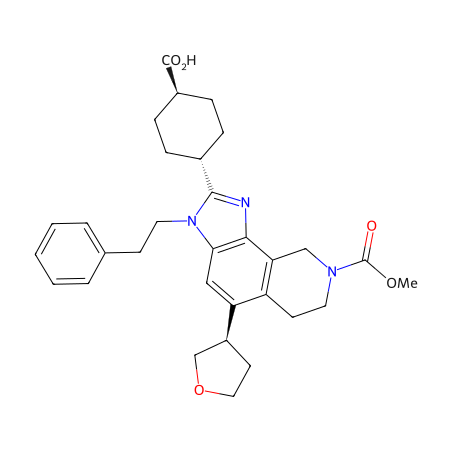 COC(=O)N1CCc2c([C@H]3CCOC3)cc3c(nc([C@H]4CC[C@H](C(=O)O)CC4)n3CCc3ccccc3)c2C1